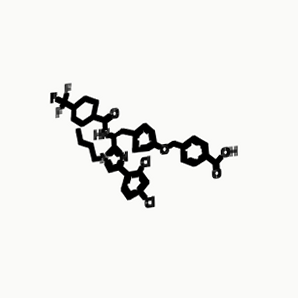 CCCCn1cc(-c2ccc(Cl)cc2Cl)nc1[C@H](Cc1ccc(OCc2ccc(C(=O)O)cc2)cc1)NC(=O)C1CCC(C(F)(F)F)CC1